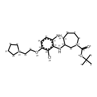 CC(C)(C)OC(=O)N1CCCCC(Nc2c(N)ccc(OCCN3CCCC3)c2Cl)C1